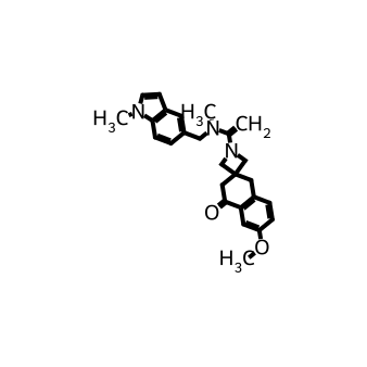 C=C(N(C)Cc1ccc2c(ccn2C)c1)N1CC2(CC(=O)c3cc(OC)ccc3C2)C1